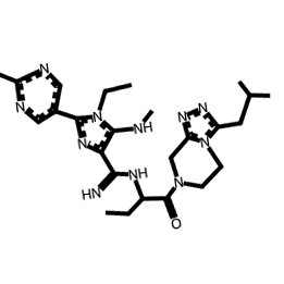 CCC(NC(=N)c1nc(-c2cnc(C)nc2)n(CC)c1NC)C(=O)N1CCn2c(CC(C)C)nnc2C1